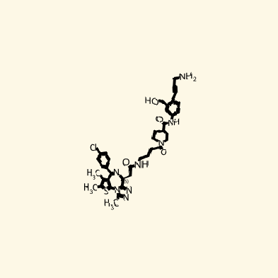 Cc1sc2c(c1C)C(c1ccc(Cl)cc1)=N[C@@H](CC(=O)NCCCC(=O)N1CCC(C(=O)Nc3ccc(C#CCN)c(CO)c3)CC1)c1nnc(C)n1-2